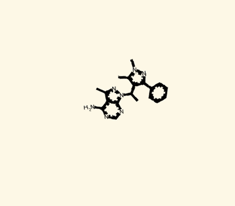 Cc1nn(C(C)c2c(-c3ccccc3)nn(C)c2C)c2ncnc(N)c12